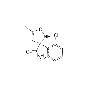 CC1=CC(C(N)=O)(c2c(Cl)cccc2Cl)NO1